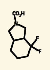 O=C(O)N1CC2CCCC(F)(F)C2C1